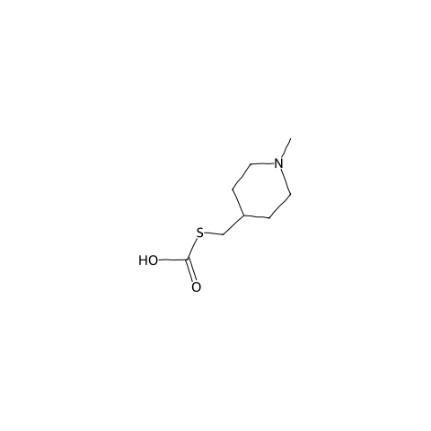 CN1CCC(CSC(=O)O)CC1